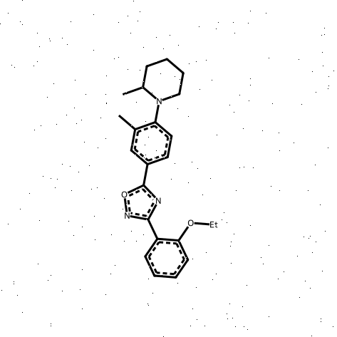 CCOc1ccccc1-c1noc(-c2ccc(N3CCCCC3C)c(C)c2)n1